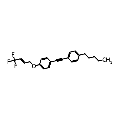 CCCCCc1ccc(C#Cc2ccc(OCC=CC(F)(F)F)cc2)cc1